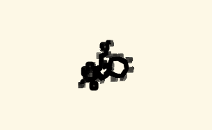 COCCn1c2c(cc(C(=O)N(C)O)c1=O)CCCCCC2